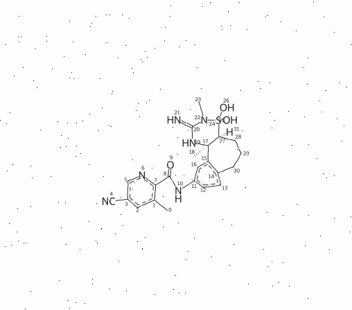 Cc1cc(C#N)cnc1C(=O)Nc1ccc2c(c1)[C@@]1(C)NC(=N)N(C)S(O)(O)[C@H]1CCC2